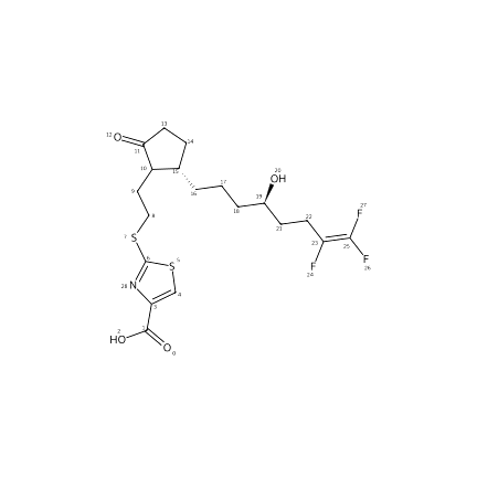 O=C(O)c1csc(SCCC2C(=O)CC[C@@H]2CCC[C@@H](O)CCC(F)=C(F)F)n1